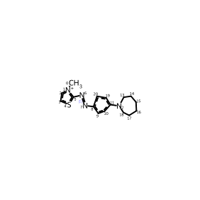 C[n+]1ccsc1/N=N/c1ccc(N2CCCCCC2)cc1